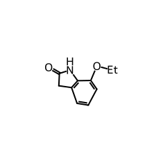 CCOc1cccc2c1NC(=O)C2